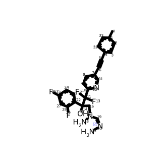 Cc1ccc(C#Cc2ccc(C(F)(F)C(O)(CN(N)/C=N\N)c3ccc(F)cc3F)nc2)cc1